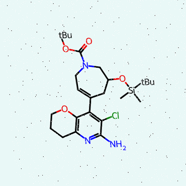 CC(C)(C)OC(=O)N1CC=C(c2c(Cl)c(N)nc3c2OCCC3)CC(O[Si](C)(C)C(C)(C)C)C1